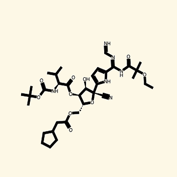 CCOC(C)(C)C(=O)N/C(=N/C=N)c1ccc([C@]2(C#N)O[C@H](COC(=O)CC3CCCC3)[C@@H](OC(=O)[C@@H](NC(=O)OC(C)(C)C)C(C)C)[C@H]2O)[nH]1